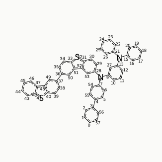 c1ccc(-c2ccc(N(c3cccc(N(c4ccccc4)c4ccccc4)c3)c3ccc4sc5ccc(-c6ccc7sc8ccccc8c7c6)cc5c4c3)cc2)cc1